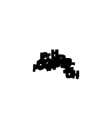 Cc1oc(S(=O)(=O)NC(=O)Cc2c(C(C)C)cc(F)cc2C(C)C)cc1C(C)(C)O